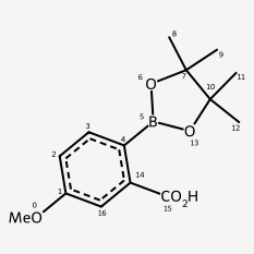 COc1ccc(B2OC(C)(C)C(C)(C)O2)c(C(=O)O)c1